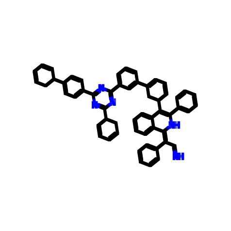 N=C/C(=C1\NC(c2ccccc2)=C(C2C=CC=C(c3cccc(-c4nc(-c5ccc(C6C=CC=CC6)cc5)nc(C5C=CC=CC5)n4)c3)C2)c2ccccc21)c1ccccc1